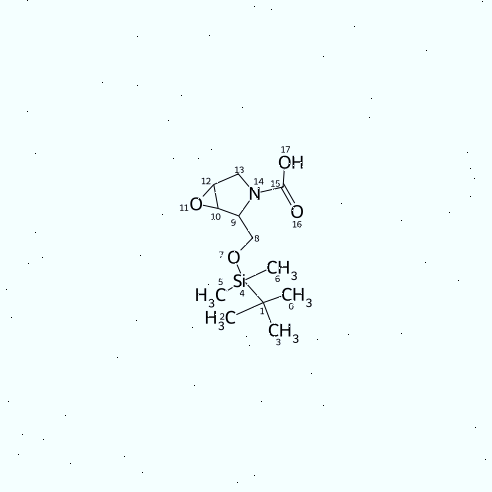 CC(C)(C)[Si](C)(C)OCC1C2OC2CN1C(=O)O